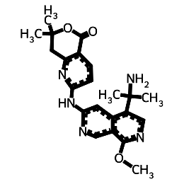 COc1ncc(C(C)(C)N)c2cc(Nc3ccc4c(n3)CC(C)(C)OC4=O)ncc12